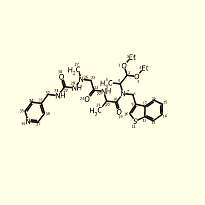 CCOC(OCC)C(C)N(Cc1csc2ccccc12)C(=O)C(C)NC(=O)CN(C)NC(=O)NCc1ccncc1